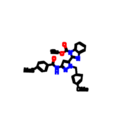 COc1ccc(Cn2nc(NC(=O)c3ccc(SC)cc3)cc2-c2nc3ccccc3n2C(=O)OC(C)(C)C)cc1